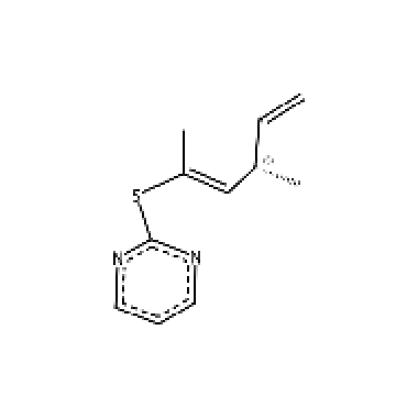 C=C[C@H](C)C=C(C)Sc1ncccn1